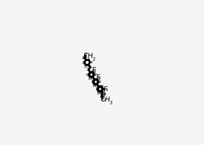 C=CC1CCC(CCc2ccc(-c3ccc(-c4ccc(OCC)c(F)c4)cc3F)cc2F)CC1